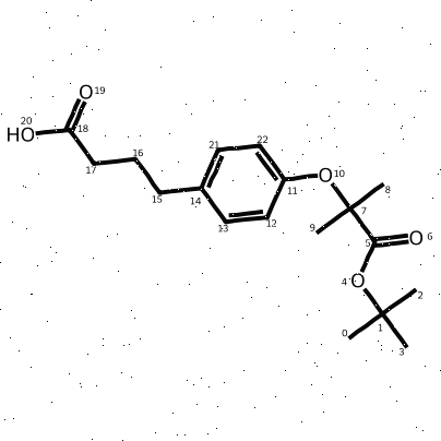 CC(C)(C)OC(=O)C(C)(C)Oc1ccc(CCCC(=O)O)cc1